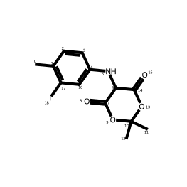 Cc1ccc(NC2C(=O)OC(C)(C)OC2=O)cc1I